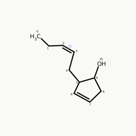 CC/C=C\CC1C=CCC1O